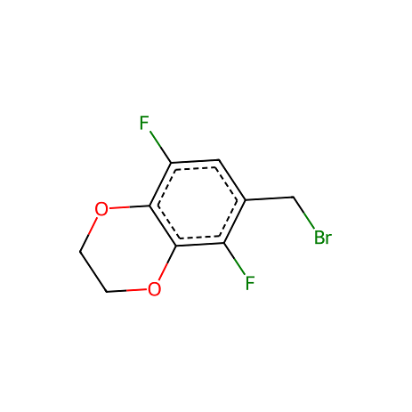 Fc1cc(CBr)c(F)c2c1OCCO2